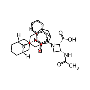 CC(=O)N[C@@H]1CN(c2nc3ccccc3n([C@H]3C[C@H]4CCC[C@@H](C3)N4[C@@H]3C[C@@H]4CCCC[C@@H](C4)C3)c2=O)[C@@H]1C(=O)O